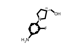 Nc1ccc(N2CC[C@H](CO)C2)c(F)c1